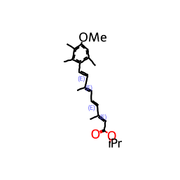 COc1cc(C)c(/C=C/C(C)=C/C=C/C(C)=C/C(=O)OC(C)C)c(C)c1C